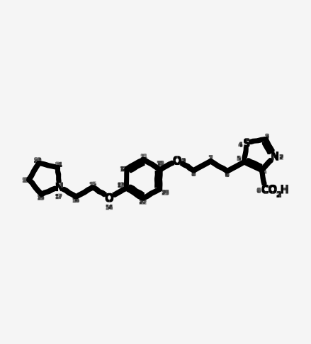 O=C(O)c1ncsc1CCCOc1ccc(OCCN2CCCC2)cc1